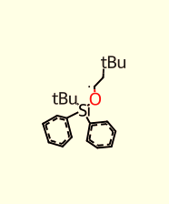 CC(C)(C)C[CH]O[Si](c1ccccc1)(c1ccccc1)C(C)(C)C